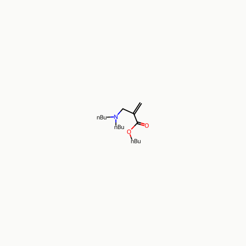 C=C(CN(CCCC)CCCC)C(=O)OCCCC